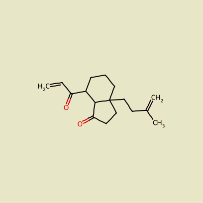 C=CC(=O)C1CCCC2(CCC(=C)C)CCC(=O)C12